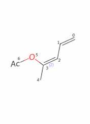 C=C/C=C(/C)OC(C)=O